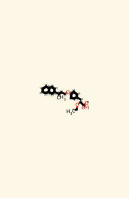 CCO[C@@H](Cc1ccc(OCC=C(C)c2ccc3ccccc3c2)cc1)C(=O)O